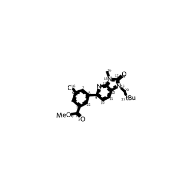 COC(=O)c1cc(Cl)cc(-c2ccc3c(n2)n(C)c(=O)n3CC(C)(C)C)c1